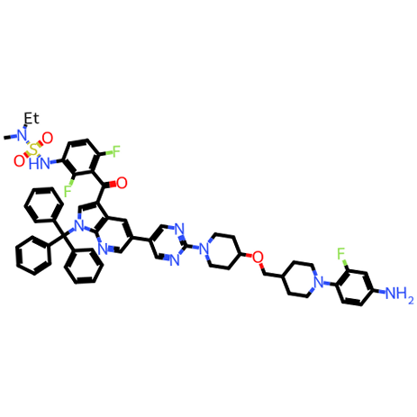 CCN(C)S(=O)(=O)Nc1ccc(F)c(C(=O)c2cn(C(c3ccccc3)(c3ccccc3)c3ccccc3)c3ncc(-c4cnc(N5CCC(OCC6CCN(c7ccc(N)cc7F)CC6)CC5)nc4)cc23)c1F